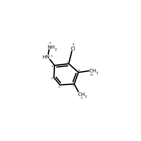 Cc1ccc(NN)c(Cl)c1C